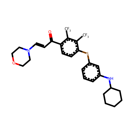 O=C(C=CN1CCOCC1)c1ccc(Sc2cccc(NC3CCCCC3)c2)c(C(F)(F)F)c1C(F)(F)F